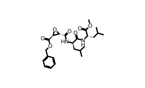 COC(=O)[C@H](CC(C)C)NC(=O)[C@@H](CC(C)C)NC(=O)[C@H]1O[C@@H]1C(=O)OCc1ccccc1